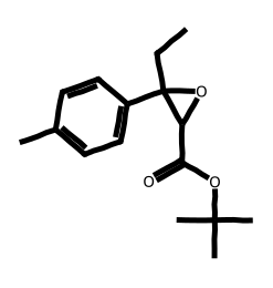 CCC1(c2ccc(C)cc2)OC1C(=O)OC(C)(C)C